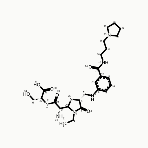 CCN1C(=O)[C@@H](CNc2cccc(C(=O)NCCCN3CCCC3)c2)SC1[C@H](N)C(=O)N[C@H](CO)C(=O)O